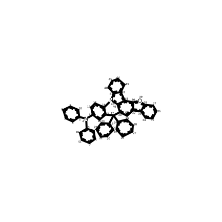 c1ccc(N(c2ccccc2)c2ccc3c(c2)C(c2ccccc2)(c2ccccc2)c2cc4c5ccccc5oc4c4c5ccccc5n-3c24)cc1